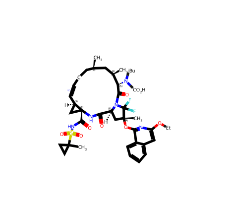 CCOc1cc2ccccc2c(O[C@]2(C)C[C@H]3C(=O)N[C@]4(C(=O)NS(=O)(=O)C5(C)CC5)C[C@H]4/C=C\CC[C@@H](C)C[C@@H](C)[C@H](N(C(=O)O)C(C)CC)C(=O)N3C2(F)F)n1